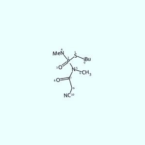 CCC(C)SP(=O)(NC)N(C)C(=O)CC#N